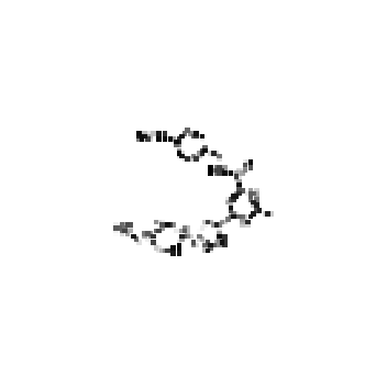 COc1ccc(CNC(=O)c2cc(C3=NO[C@H]([C@H]4CO[C@H](CO)CO4)C3)nc(C)n2)cc1